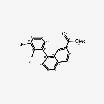 COC(=O)c1ccc2cccc(-c3cccc(F)c3F)c2c1